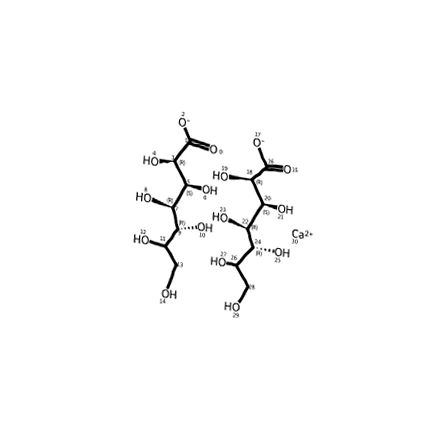 O=C([O-])[C@H](O)[C@@H](O)[C@H](O)[C@H](O)C(O)CO.O=C([O-])[C@H](O)[C@@H](O)[C@H](O)[C@H](O)C(O)CO.[Ca+2]